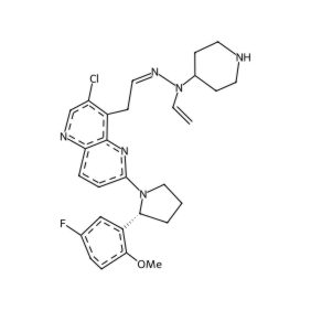 C=CN(/N=C\Cc1c(Cl)cnc2ccc(N3CCC[C@@H]3c3cc(F)ccc3OC)nc12)C1CCNCC1